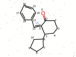 O=C1CCCC(C2CCCC2)/C1=C/c1ccccc1